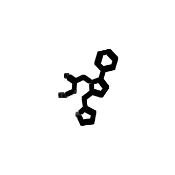 CC(C)(C)OC(=O)Cn1c(Cc2ccco2)ccc1-c1ccccc1